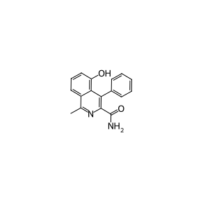 Cc1nc(C(N)=O)c(-c2ccccc2)c2c(O)cccc12